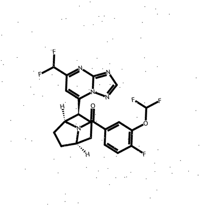 O=C(c1ccc(F)c(OC(F)F)c1)N1[C@H]2CC[C@H](c3cc(C(F)F)nc4ncnn34)[C@@H]1CC2